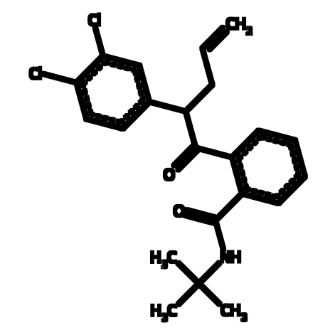 C=CCC(C(=O)c1ccccc1C(=O)NC(C)(C)C)c1ccc(Cl)c(Cl)c1